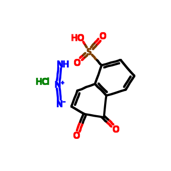 Cl.O=C1C=Cc2c(cccc2S(=O)(=O)O)C1=O.[N-]=[N+]=N